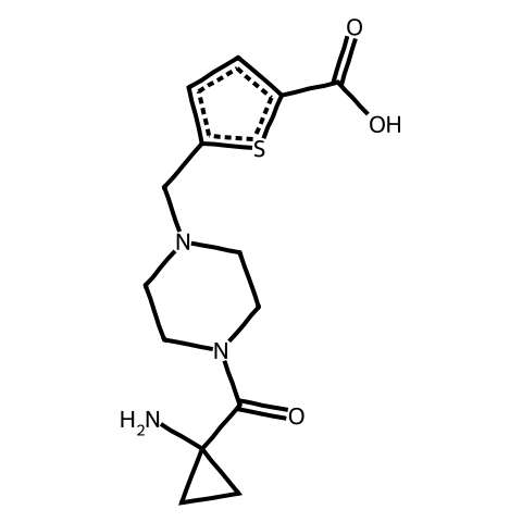 NC1(C(=O)N2CCN(Cc3ccc(C(=O)O)s3)CC2)CC1